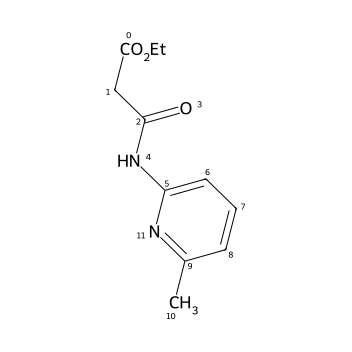 CCOC(=O)CC(=O)Nc1cccc(C)n1